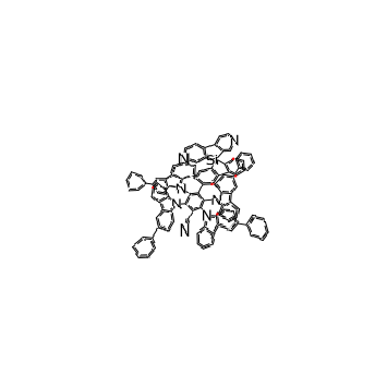 N#Cc1c(-n2c3ccccc3c3cc(-c4ccccc4)ccc32)c(-n2c3ccccc3c3cc(-c4ccccc4)ccc32)c(-c2ccc3c(c2)-c2ccccc2[Si]32c3cnccc3-c3ccncc32)c(-n2c3ccccc3c3cc(-c4ccccc4)ccc32)c1-n1c2ccccc2c2cc(-c3ccccc3)ccc21